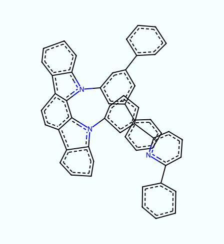 c1ccc(-c2cc(-c3ccccc3)cc(-n3c4ccccc4c4ccc5c6ccccc6n(-c6cccc(-c7cccc(-c8ccccc8)n7)c6)c5c43)c2)cc1